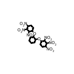 O=[N+]([O-])c1ccc(Oc2ccccc2Oc2ccc([N+](=O)[O-])c([N+](=O)[O-])c2[N+](=O)[O-])c([N+](=O)[O-])c1[N+](=O)[O-]